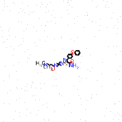 CN(C)C/C=C/C(=O)N1CC2(C1)CN(c1nc(-c3ccc(Oc4ccccc4)cc3)c(C(N)=O)s1)C2